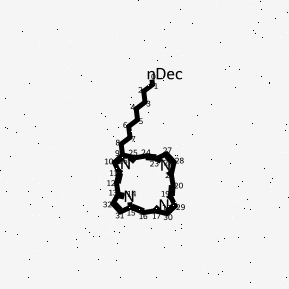 CCCCCCCCCCCCCCCCCCC1=CC2=CC3=NC(=CC4=NC(=CC5=NC(=CC1=N2)C=C5)C=C4)C=C3